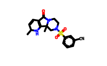 CC1C=CC2=C(N1)C1(C)CN(S(=O)(=O)c3cccc(C#N)c3)CCN1C2=O